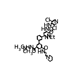 CCn1nc(-c2cccc(-c3cc(C(=O)NCCN(C)C)cc(C(=O)NCCN4CCCCC4)c3)c2)cc(NC(=O)Nc2c(Cl)cncc2Cl)c1=O